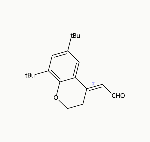 CC(C)(C)c1cc2c(c(C(C)(C)C)c1)OCC/C2=C\C=O